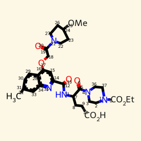 CCOC(=O)N1CCN(C(=O)C(CCC(=O)O)NC(=O)c2cc(OCC(=O)N3CCC(OC)CC3)c3ccc(C)cc3n2)CC1